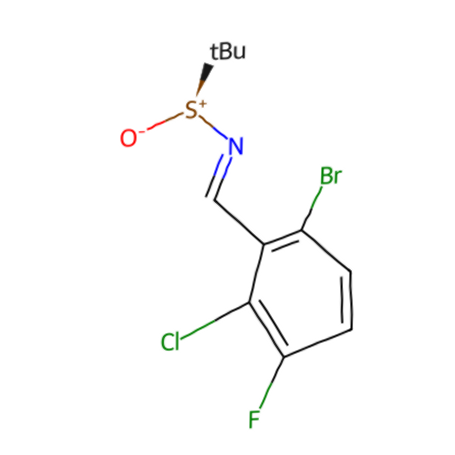 CC(C)(C)[S@+]([O-])N=Cc1c(Br)ccc(F)c1Cl